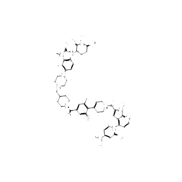 CNc1ccn(-c2ccnc3c2cc([C@H](C)N2CC=C(c4c(C)cc(C(=O)N5CCC(CN6CCN(c7ccc8c(c7)n(C)c(=O)n8[C@H]7CCC(=O)NC7=O)CC6)CC5)cc4F)CC2)n3C)c(=O)c1